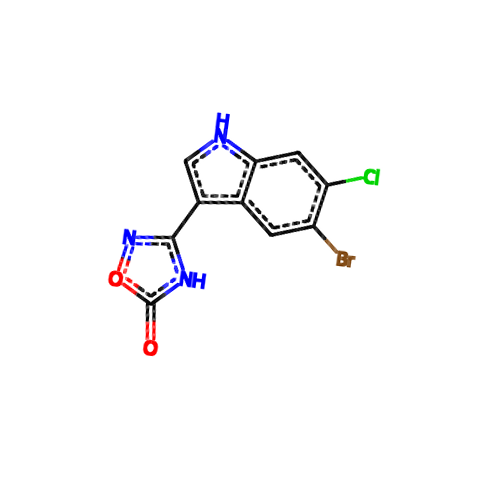 O=c1[nH]c(-c2c[nH]c3cc(Cl)c(Br)cc23)no1